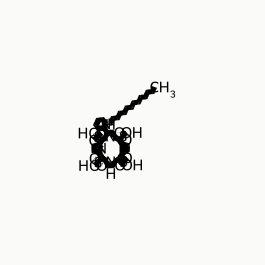 CCCCCCCCCCCCCCN1CC=CC=C1c1cc2[nH]c1c(S(=O)(=O)O)c1nc(c(S(=O)(=O)O)c3ccc([nH]3)c(S(=O)(=O)O)c3nc(c2S(=O)(=O)O)C=C3)C=C1